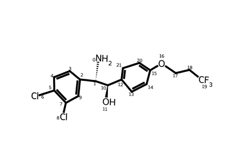 N[C@@H](c1ccc(Cl)c(Cl)c1)[C@H](O)c1ccc(OCCC(F)(F)F)cc1